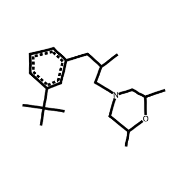 CC(Cc1cccc(C(C)(C)C)c1)CN1CC(C)OC(C)C1